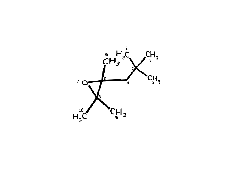 CC(C)(C)CC1(C)OC1(C)C